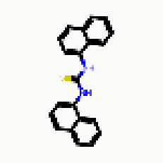 S=C(Nc1cccc2ccccc12)Nc1cccc2ccccc12